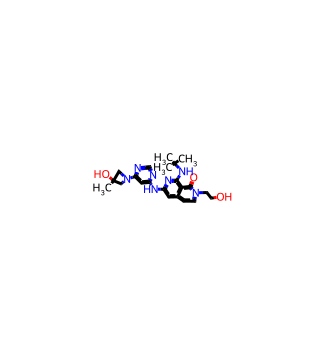 CC1(O)CN(c2cc(Nc3cc4ccn(CCO)c(=O)c4c(NC(C)(C)C)n3)ncn2)C1